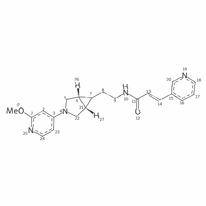 COc1cc(N2C[C@@H]3C(CCNC(=O)/C=C/c4cccnc4)[C@@H]3C2)ccn1